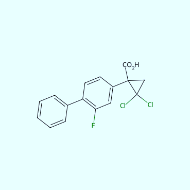 O=C(O)C1(c2ccc(-c3ccccc3)c(F)c2)CC1(Cl)Cl